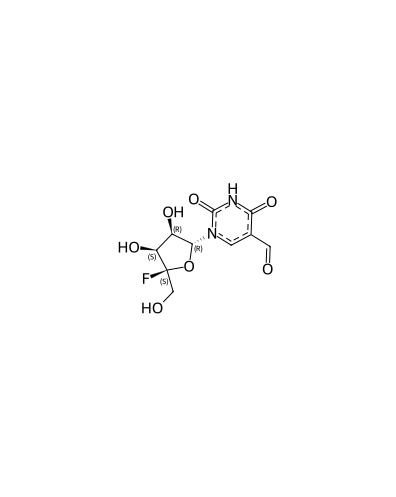 O=Cc1cn([C@@H]2O[C@](F)(CO)[C@@H](O)[C@H]2O)c(=O)[nH]c1=O